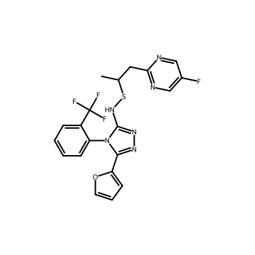 CC(Cc1ncc(F)cn1)SNc1nnc(-c2ccco2)n1-c1ccccc1C(F)(F)F